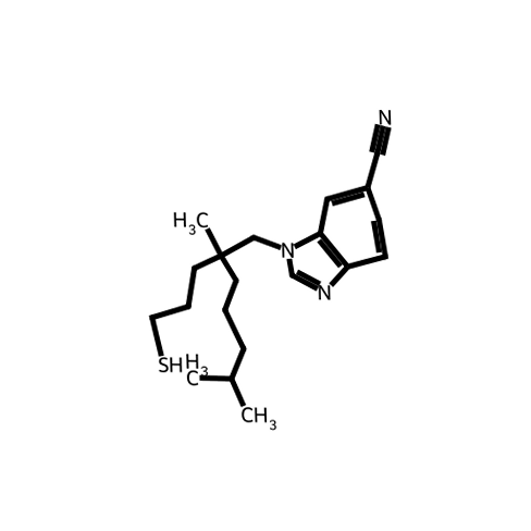 CC(C)CCCC(C)(CCCS)Cn1cnc2ccc(C#N)cc21